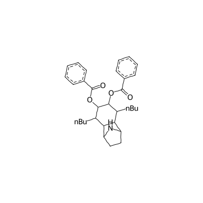 CCCCC1C(OC(=O)c2ccccc2)C(OC(=O)c2ccccc2)C(CCCC)C2C3CCC(N3)C12